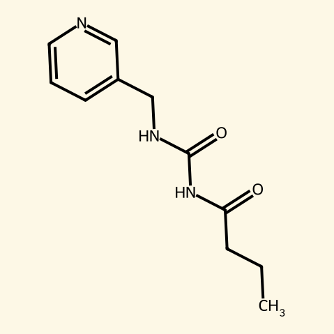 CCCC(=O)NC(=O)NCc1cccnc1